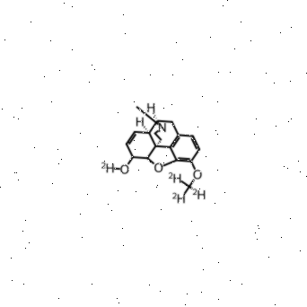 [2H]OC1C=C[C@H]2[C@H]3Cc4ccc(OC([2H])([2H])[2H])c5c4[C@@]2(CCN3C)C1O5